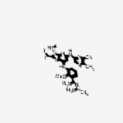 COc1c(Nc2cc(Nc3cnc(C)c(C#N)n3)nc3c2nc(C(F)F)n3PI)cccc1/C(N)=N/N(C)N